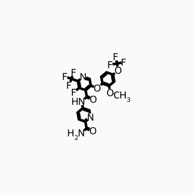 COc1cc(OC(F)(F)F)ccc1Oc1cnc(C(F)(F)F)c(F)c1C(=O)Nc1ccc(C(N)=O)nc1